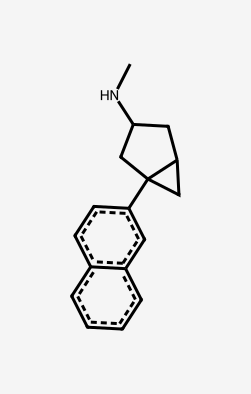 CNC1CC2CC2(c2ccc3ccccc3c2)C1